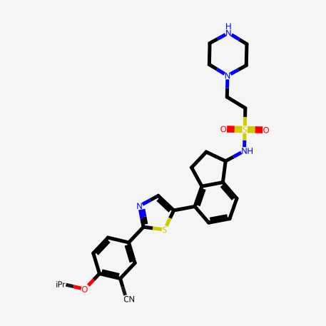 CC(C)Oc1ccc(-c2ncc(-c3cccc4c3CCC4NS(=O)(=O)CCN3CCNCC3)s2)cc1C#N